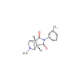 CN1CC2CCC1[C@H]1C(=O)N(c3cccc(C(F)(F)F)c3)C(=O)[C@@H]21